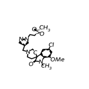 COc1cc(Cl)cc2c1N(C)C(=O)C21CCN(Cc2cnn(CCS(C)(=O)=O)c2)CC1